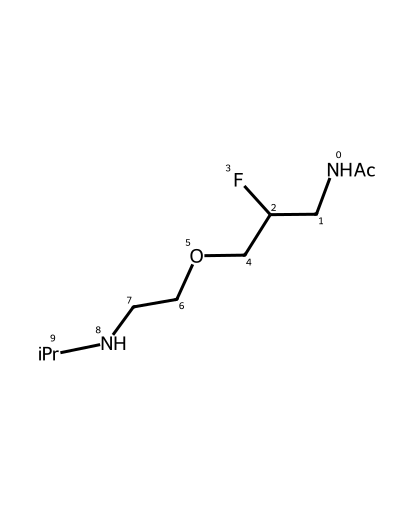 CC(=O)NCC(F)COCCNC(C)C